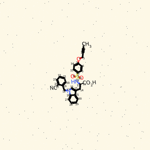 CC#CCOc1ccc(S(=O)(=O)N[C@H](Cc2cn(Cc3ccccc3C#N)c3ccccc23)C(=O)O)cc1